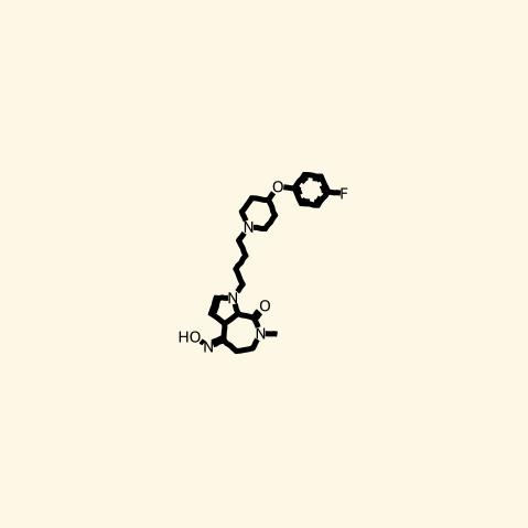 CN1CC/C(=N/O)C2C=CN(CCCCN3CCC(Oc4ccc(F)cc4)CC3)C2C1=O